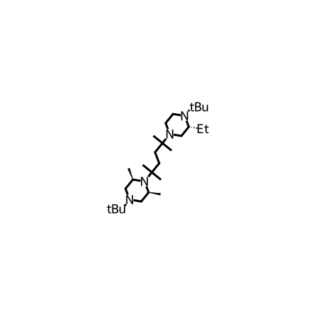 CC[C@@H]1CN(C(C)(C)CCC(C)(C)N2[C@H](C)CN(C(C)(C)C)C[C@@H]2C)CCN1C(C)(C)C